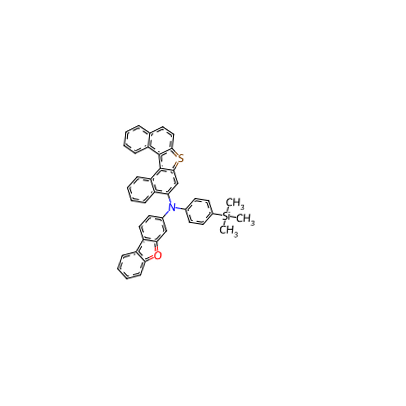 C[Si](C)(C)c1ccc(N(c2ccc3c(c2)oc2ccccc23)c2cc3sc4ccc5ccccc5c4c3c3ccccc23)cc1